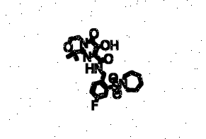 CC1(C)OCCn2c1nc(C(=O)NCc1ccc(F)cc1S(=O)(=O)N1CCCCCC1)c(O)c2=O